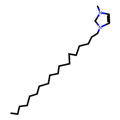 CCCCCCCCCCCCCCCCCCN1C=CN(C)C1